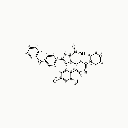 O=C(O)c1sc(-c2ccc(Oc3ccccc3)cc2)cc1N(CC(=O)N1CCOCC1)C(=O)c1ccc(Cl)cc1Cl